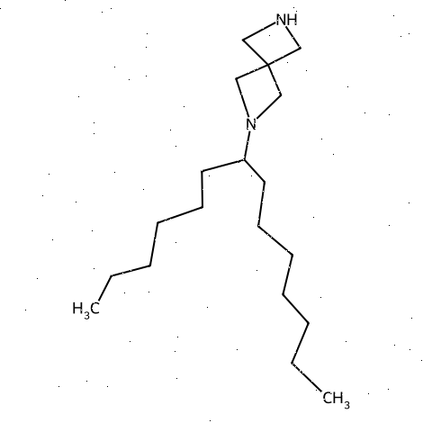 CCCCCCCC(CCCCCC)N1CC2(CNC2)C1